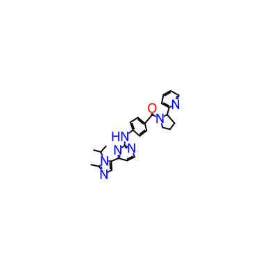 Cc1ncc(-c2ccnc(Nc3ccc(C(=O)N4CCCC4c4ccccn4)cc3)n2)n1C(C)C